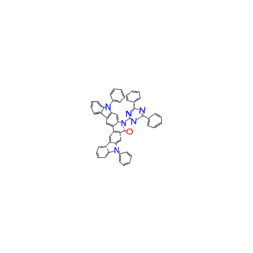 O=c1c2cc3c(cc2c2cc4c5ccccc5n(-c5ccccc5)c4cc2n1-c1nc(-c2ccccc2)nc(-c2ccccc2)n1)c1ccccc1n3-c1ccccc1